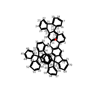 c1ccc(-c2cc3c(cc2N(c2ccc4c5ccccc5c5ccccc5c4c2)c2cccc4c2-c2ccccc2C4(c2ccccc2)c2ccccc2)C2(c4ccccc4-c4ccccc42)c2ccccc2-3)cc1